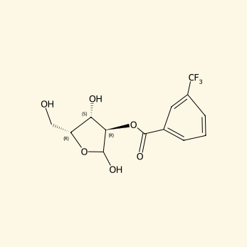 O=C(O[C@H]1C(O)O[C@H](CO)[C@@H]1O)c1cccc(C(F)(F)F)c1